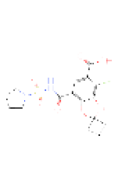 O=C(O)c1cc(C(=O)NS(=O)(=O)N2CCCC2)c2c(c1F)OC1(CCC1)O2